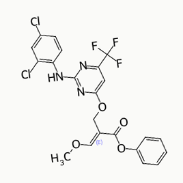 CO/C=C(\COc1cc(C(F)(F)F)nc(Nc2ccc(Cl)cc2Cl)n1)C(=O)Oc1ccccc1